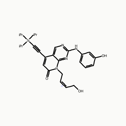 CC(C)[Si](C#Cc1cc(=O)n(C/C=C\CO)c2nc(Nc3cccc(O)c3)ncc12)(C(C)C)C(C)C